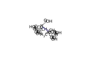 CC[N+]1=C(/C=C/C=C/C=C2/N(CCCCC(=O)O)c3ccc4c(S(=O)(=O)O)cc(S(=O)(=O)O)cc4c3C2(C)C)C(C)(C)c2c1ccc1c(S(=O)(=O)O)cc(S(=O)(=O)O)cc21